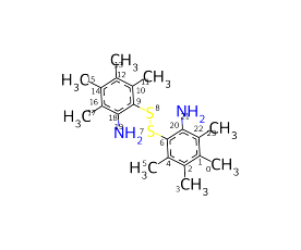 Cc1c(C)c(C)c(SSc2c(C)c(C)c(C)c(C)c2N)c(N)c1C